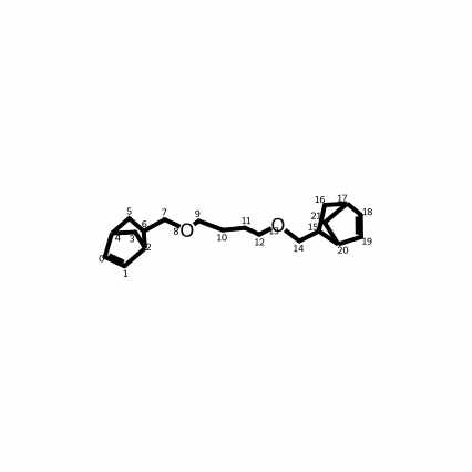 C1=CC2CC1CC2COCCCCOCC1CC2C=CC1C2